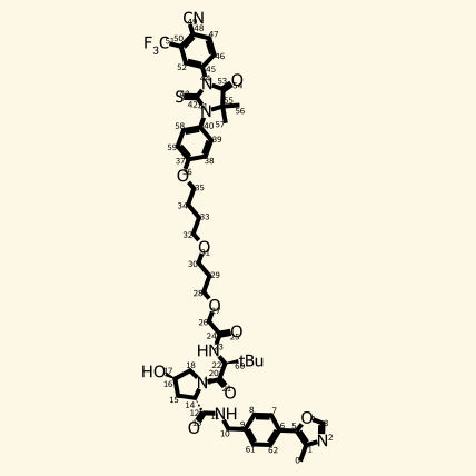 Cc1ncoc1-c1ccc(CNC(=O)[C@@H]2C[C@@H](O)CN2C(=O)[C@@H](NC(=O)COCCCOCCCCOc2ccc(N3C(=S)N(c4ccc(C#N)c(C(F)(F)F)c4)C(=O)C3(C)C)cc2)C(C)(C)C)cc1